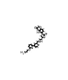 NCCOc1cccc(-c2ccnc(CNCC[C@H]3CN(c4ccc5c(n4)NC(=O)CO5)C(=O)O3)c2)n1